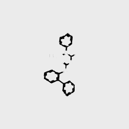 CC(OC(=O)Oc1ccccc1-c1ccccc1)N(C)c1ccccc1